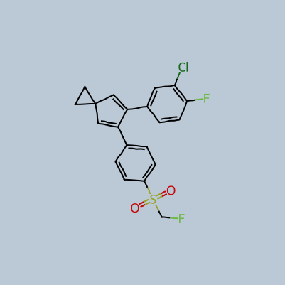 O=S(=O)(CF)c1ccc(C2=CC3(C=C2c2ccc(F)c(Cl)c2)CC3)cc1